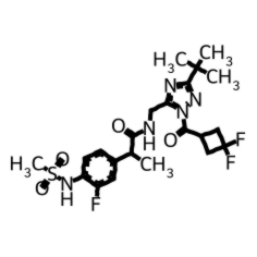 CC(C(=O)NCc1nc(C(C)(C)C)nn1C(=O)C1CC(F)(F)C1)c1ccc(NS(C)(=O)=O)c(F)c1